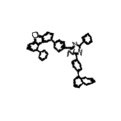 c1ccc(-c2nc(-c3ccc(-c4ccc5oc6cccc(-c7ccccc7)c6c5c4)cc3)nc(-c3ccc(-c4cccc5ccccc45)cc3)n2)cc1